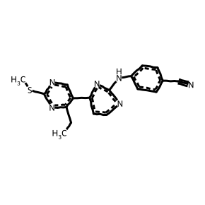 CCc1nc(SC)ncc1-c1ccnc(Nc2ccc(C#N)cc2)n1